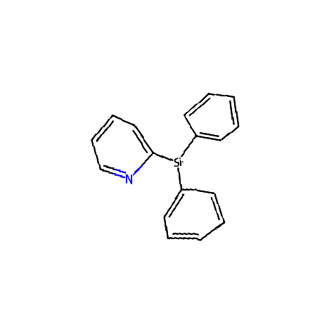 c1ccc([Si](c2ccccc2)c2ccccn2)cc1